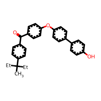 CCC(C)(CC)c1ccc(C(=O)c2ccc(Oc3ccc(-c4ccc(O)cc4)cc3)cc2)cc1